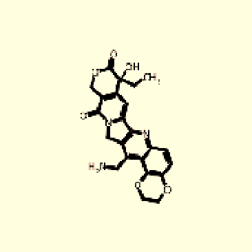 CC[C@@]1(O)C(=O)OCc2c1cc1n(c2=O)Cc2c-1nc1ccc3c(c1c2CN)OCCO3